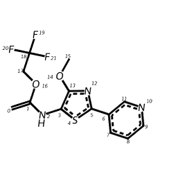 C=C(Nc1sc(-c2cccnc2)nc1OC)OCC(F)(F)F